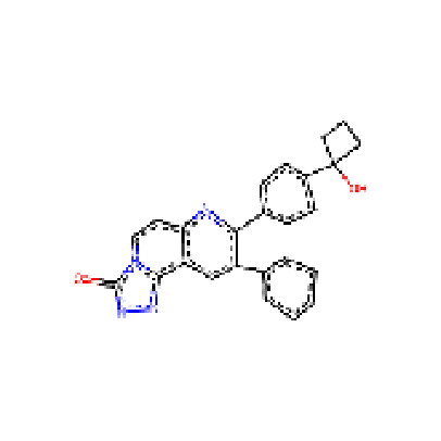 O=c1[nH]nc2c3cc(-c4ccccc4)c(-c4ccc(C5(O)CCC5)cc4)nc3ccn12